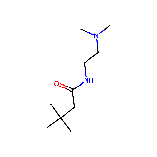 CN(C)CCNC(=O)CC(C)(C)C